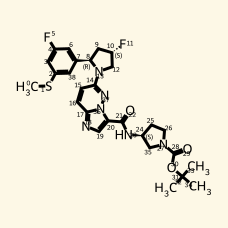 CSc1cc(F)cc([C@H]2C[C@H](F)CN2c2ccc3ncc(C(=O)N[C@H]4CCN(C(=O)OC(C)(C)C)C4)n3n2)c1